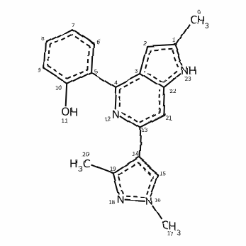 Cc1cc2c(-c3ccccc3O)nc(-c3cn(C)nc3C)cc2[nH]1